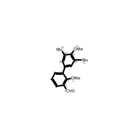 COc1c(C=O)cccc1-c1cc(C(C)(C)C)c(OC)c(C(C)(C)C)c1